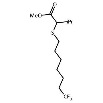 COC(=O)C(SCCCCCCC(F)(F)F)C(C)C